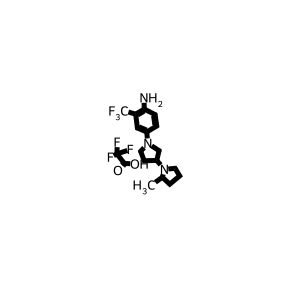 CC1CCCN1C1CCN(c2ccc(N)c(C(F)(F)F)c2)C1.O=C(O)C(F)(F)F